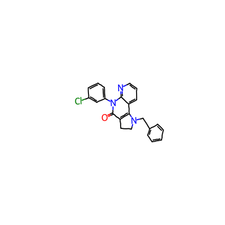 O=c1c2c(c3cccnc3n1-c1cccc(Cl)c1)N(Cc1ccccc1)CC2